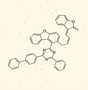 C=c1oc2ccccc2/c1=C/C=C\Cc1ccc2oc3ccccc3c2c1-c1nc(-c2ccccc2)nc(-c2ccc(-c3ccccc3)cc2)n1